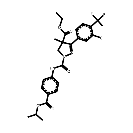 CCOC(=O)C1(C)CN(C(=O)Nc2ccc(C(=O)OC(C)C)cc2)N=C1c1ccc(C(F)(F)F)c(Cl)c1